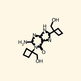 Nc1nc2[nH]c(C3(CO)CCC3)nc2c(=O)n1C1(CO)CCC1